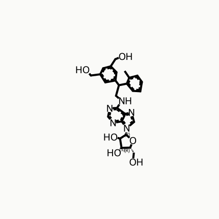 Cc1ccccc1C(CNc1ncnc2c1ncn2[C@@H]1O[C@H](CO)[C@@H](O)C1O)c1cc(CO)cc(CO)c1